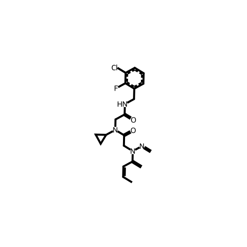 C=NN(CC(=O)N(CC(=O)NCc1cccc(Cl)c1F)C1CC1)C(=C)/C=C\C